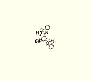 C/C(=N\c1ccccc1Cl)c1cccc(/C(C)=N/c2ccccc2Cl)n1.[Cl-].[Cl-].[Fe+2]